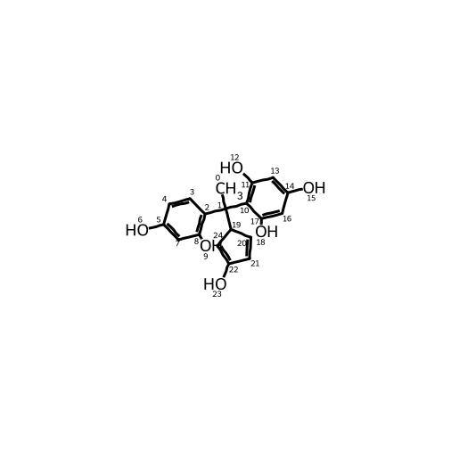 CC(c1ccc(O)cc1O)(c1c(O)cc(O)cc1O)C1C=CC(O)=C1